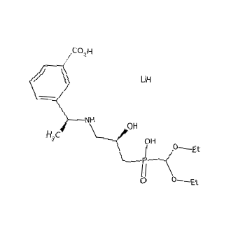 CCOC(OCC)P(=O)(O)C[C@H](O)CN[C@@H](C)c1cccc(C(=O)O)c1.[LiH]